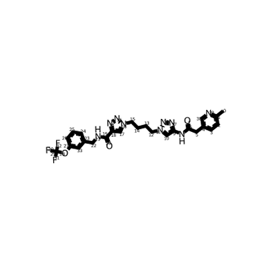 Cc1ccc(CC(=O)Nc2cn(CCCCn3cc(C(=O)NCc4cccc(OC(F)(F)F)c4)nn3)nn2)cn1